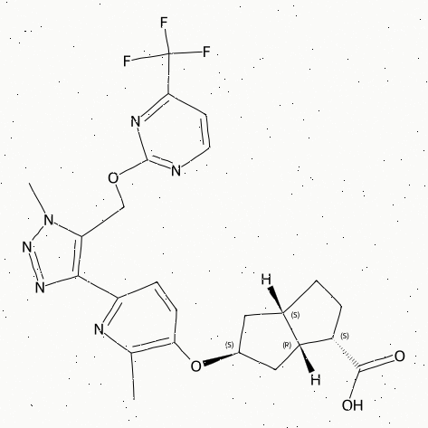 Cc1nc(-c2nnn(C)c2COc2nccc(C(F)(F)F)n2)ccc1O[C@H]1C[C@@H]2CC[C@H](C(=O)O)[C@@H]2C1